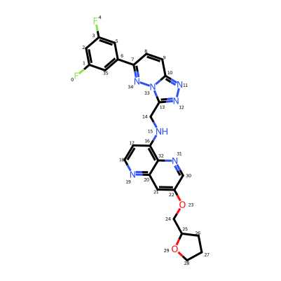 Fc1cc(F)cc(-c2ccc3nnc(CNc4ccnc5cc(OCC6CCCO6)cnc45)n3n2)c1